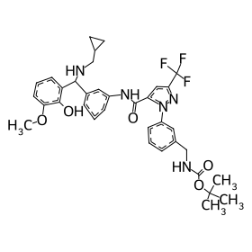 COc1cccc(C(NCC2CC2)c2cccc(NC(=O)c3cc(C(F)(F)F)nn3-c3cccc(CNC(=O)OC(C)(C)C)c3)c2)c1O